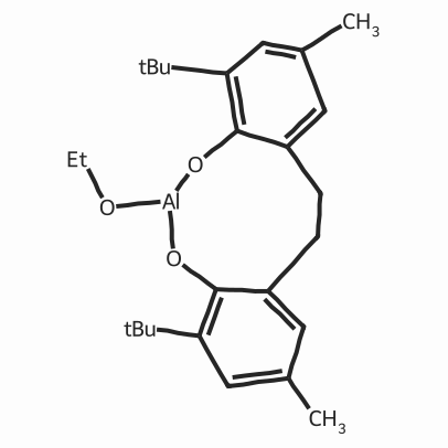 CC[O][Al]1[O]c2c(cc(C)cc2C(C)(C)C)CCc2cc(C)cc(C(C)(C)C)c2[O]1